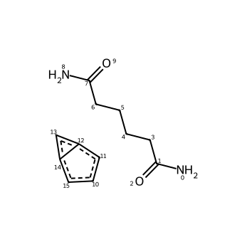 NC(=O)CCCCC(N)=O.c1cc2cc-2c1